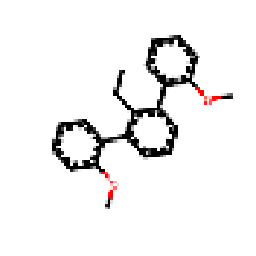 CCc1c(-c2ccccc2OC)cccc1-c1ccccc1OC